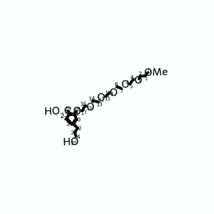 COCCOCCOCCOCCOCCOCCOc1cc(CCCO)ccc1C(=O)O